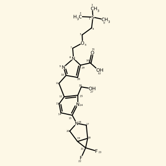 CS(C)(C)CCOCn1nc(Cc2ccc(N3CC4C(C3)C4(F)F)nc2CO)cc1C(=O)O